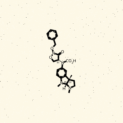 CN1CC[C@@]2(C)c3cc(N(C(=O)O)[C@@H]4CON(OCc5ccccc5)C4=O)ccc3N(C)[C@@H]12